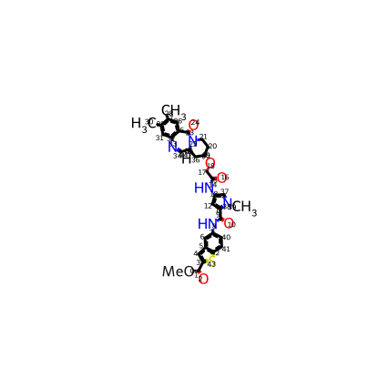 COC(=O)c1cc2cc(NC(=O)c3cc(NC(=O)CO[C@@H]4CCN5C(=O)c6cc(C)c(C)cc6N=C[C@@H]5C4)cn3C)ccc2s1